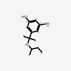 CCC(C)OC(C)(C)c1cc(S)cc(S)c1